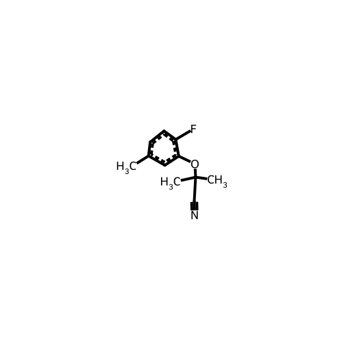 Cc1ccc(F)c(OC(C)(C)C#N)c1